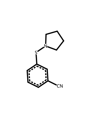 N#Cc1cccc(SN2CCCC2)c1